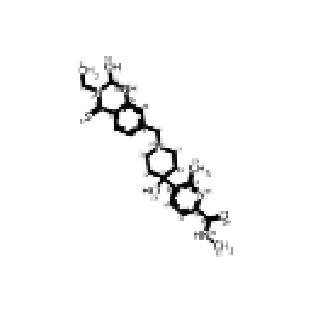 CCN1C(=S)c2ccc(CN3CCC(O)(c4ccc(C(=O)NC)nc4C)CC3)cc2NC1O